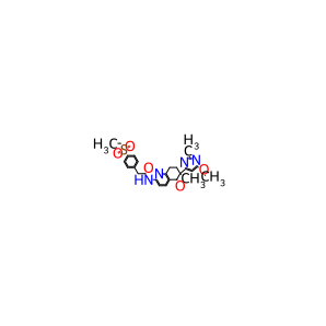 CCS(=O)(=O)c1ccc(CC(=O)Nc2ccc3c(n2)CCC(C)(c2cc(OC)nc(C)n2)C3=O)cc1